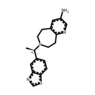 C[C@H](c1ccc2scnc2c1)N1CCc2cc(N)cnc2CC1